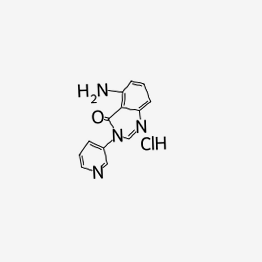 Cl.Nc1cccc2ncn(-c3cccnc3)c(=O)c12